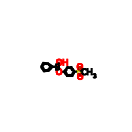 CS(=O)(=O)c1ccc(OB(O)c2ccccc2)cc1